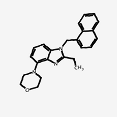 CCc1nc2c(N3CCOCC3)cccc2n1Cc1cccc2ccccc12